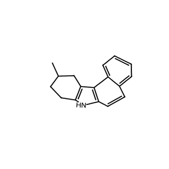 CC1CCc2[nH]c3ccc4ccccc4c3c2C1